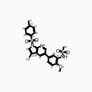 COc1ccc(-c2cnc3c(c2)c(I)cn3S(=O)(=O)c2ccc(C)cc2)cc1NS(C)(=O)=O